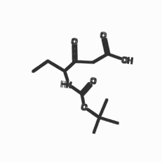 CCC(NC(=O)OC(C)(C)C)C(=O)CC(=O)O